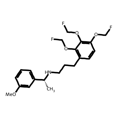 COc1cccc([C@@H](C)NCCCc2ccc(OCF)c(OCF)c2OCF)c1